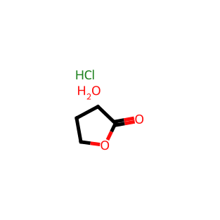 Cl.O.O=C1CCCO1